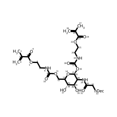 C=C(C)C(=O)OCCNC(=O)OCC1O[C@@H](OC(=O)NCCOC(=O)C(=C)C)C(NC(=O)CCCCCCCCCCC)[C@@H](O)[C@@H]1O